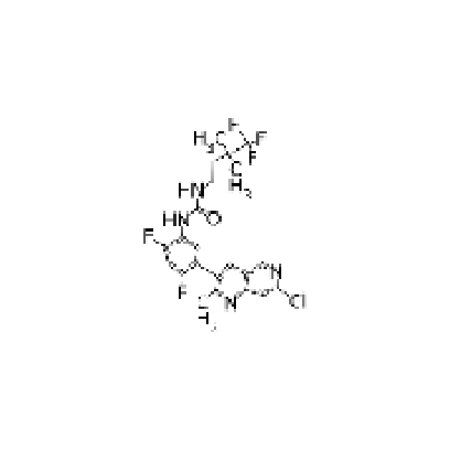 Cc1nc2cc(Cl)ncc2cc1-c1cc(NC(=O)NCCC(C)(C)C(F)(F)F)c(F)cc1F